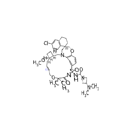 CO[C@H]1/C=C/COC(C)(C)C(=O)N=S(=O)(NC(=O)N2CC(N(C)C)C2)c2ccc3c(c2)N(C[C@@H]2CC[C@H]21)C[C@@]1(CCCc2cc(Cl)ccc21)CO3